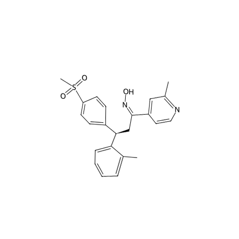 Cc1cc(C(C[C@H](c2ccc(S(C)(=O)=O)cc2)c2ccccc2C)=NO)ccn1